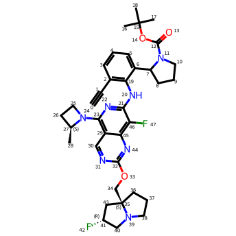 C#Cc1cccc(C2CCCN2C(=O)OC(C)(C)C)c1Nc1nc(N2CC[C@@H]2C)c2cnc(OC[C@@]34CCCN3C[C@H](F)C4)nc2c1F